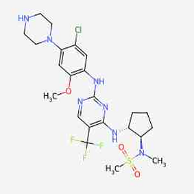 COc1cc(N2CCNCC2)c(Cl)cc1Nc1ncc(C(F)(F)F)c(N[C@@H]2CCC[C@H]2N(C)S(C)(=O)=O)n1